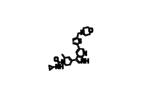 CC1C=C(c2c[nH]c3ncc(-c4ccc(CN5CCOCC5)s4)cc23)CCN1C(=O)NC1CC1